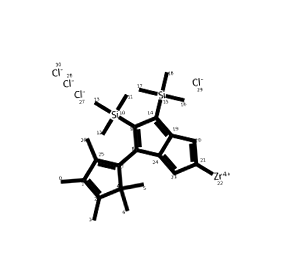 CC1=C(C)C(C)(C)C(C2=C([Si](C)(C)C)C([Si](C)(C)C)=C3C=[C]([Zr+4])C=C32)=C1C.[Cl-].[Cl-].[Cl-].[Cl-]